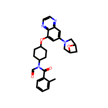 Cc1ccccc1C(=O)N(C=O)C1CCC(Oc2cc(N3CC4CC(C3)O4)cc3nccnc23)CC1